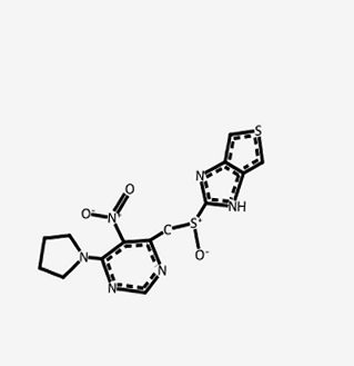 O=[N+]([O-])c1c(C[S+]([O-])c2nc3cscc3[nH]2)ncnc1N1CCCC1